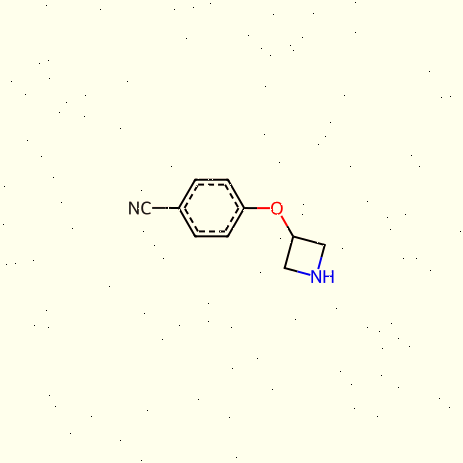 N#Cc1ccc(OC2CNC2)cc1